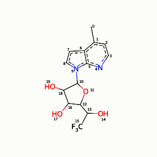 Cc1ccnc2c1ccn2C1OC(C(O)C(F)(F)F)C(O)C1O